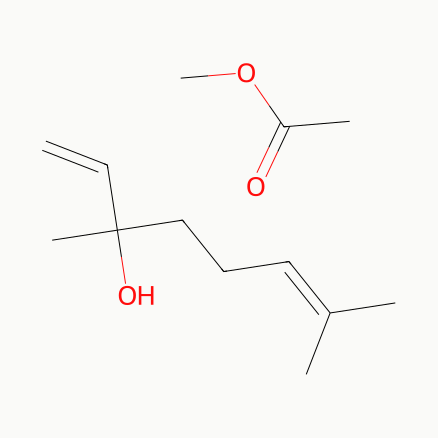 C=CC(C)(O)CCC=C(C)C.COC(C)=O